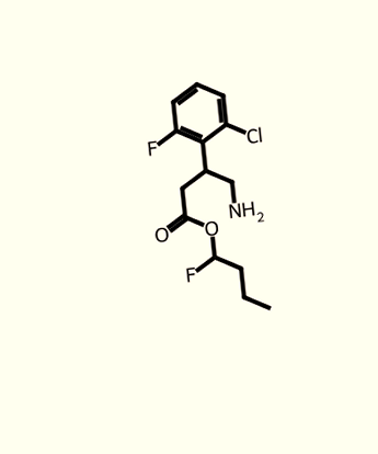 CCCC(F)OC(=O)CC(CN)c1c(F)cccc1Cl